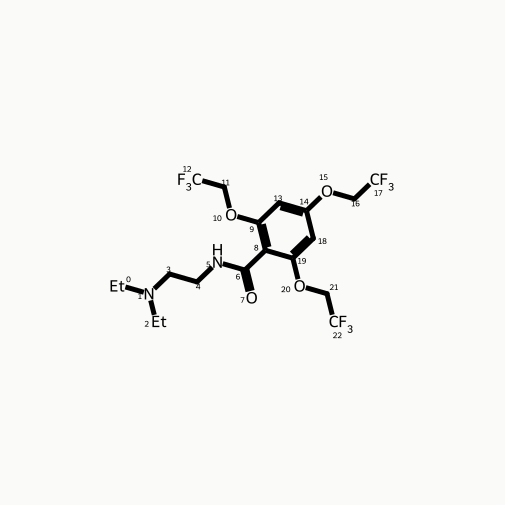 CCN(CC)CCNC(=O)c1c(OCC(F)(F)F)cc(OCC(F)(F)F)cc1OCC(F)(F)F